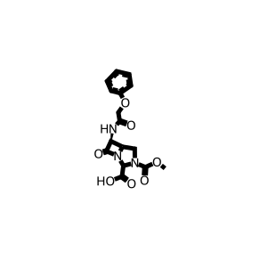 COC(=O)N1CC2[C@H](NC(=O)COc3ccccc3)C(=O)N2C1C(=O)O